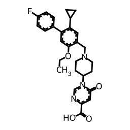 CCOc1cc(-c2ccc(F)cc2)c(C2CC2)cc1CN1CCC(n2cnc(C(=O)O)cc2=O)CC1